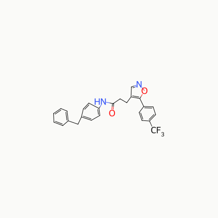 O=C(CCc1cnoc1-c1ccc(C(F)(F)F)cc1)Nc1ccc(Cc2ccccc2)cc1